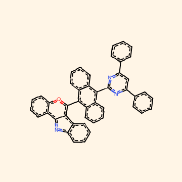 c1ccc(-c2cc(-c3ccccc3)nc(-c3c4ccccc4c(-c4oc5ccccc5c5nc6ccccc6c4-5)c4ccccc34)n2)cc1